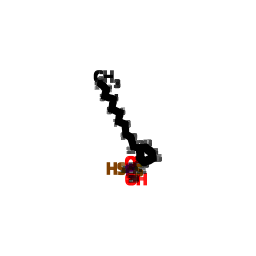 CCCCCCCCCCCCc1ccccc1OP(O)(=S)S